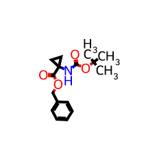 CC(C)(C)OC(=O)NC1(C(=O)OCc2ccccc2)CC1